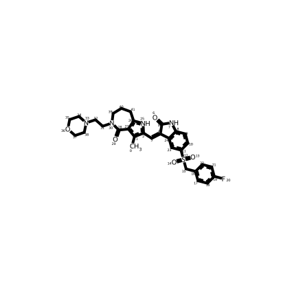 Cc1c(/C=C2\C(=O)Nc3ccc(S(=O)(=O)Cc4ccc(F)cc4)cc32)[nH]c2c1C(=O)N(CCN1CCOCC1)CCC2